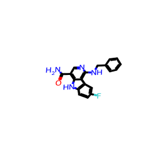 NC(=O)c1cnc(NCc2ccccc2)c2c1[nH]c1ccc(F)cc12